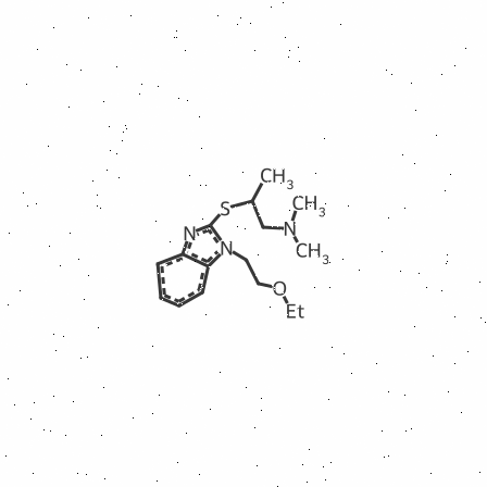 CCOCCn1c(SC(C)CN(C)C)nc2ccccc21